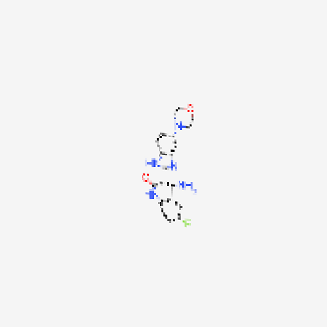 Nc1c(-c2nc3cc(N4CCOCC4)ccc3[nH]2)c(=O)[nH]c2ccc(F)cc12